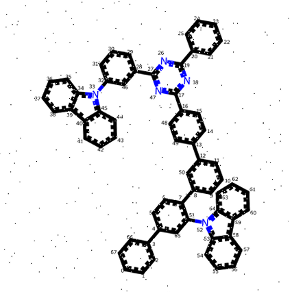 c1ccc(-c2ccc(-c3cccc(-c4ccc(-c5nc(-c6ccccc6)nc(-c6cccc(-n7c8ccccc8c8ccccc87)c6)n5)cc4)c3)c(-n3c4ccccc4c4ccccc43)c2)cc1